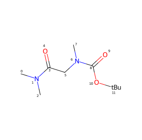 CN(C)C(=O)CN(C)C(=O)OC(C)(C)C